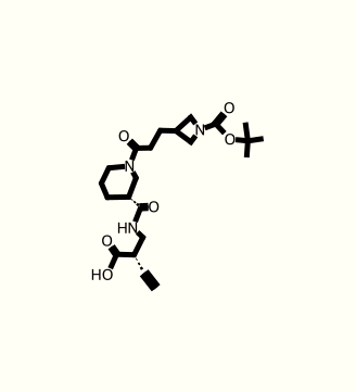 C#C[C@@H](CNC(=O)[C@@H]1CCCN(C(=O)CCC2CN(C(=O)OC(C)(C)C)C2)C1)C(=O)O